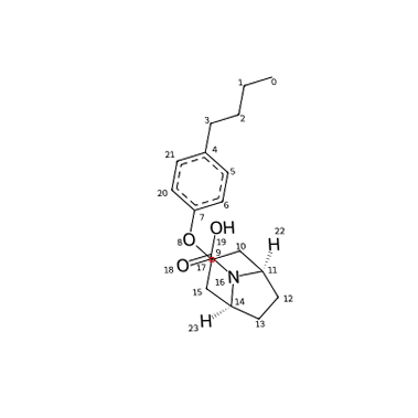 CCCCc1ccc(OC2C[C@H]3CC[C@@H](C2)N3C(=O)O)cc1